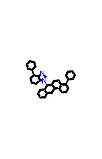 c1ccc(-c2cccc3c2ccc2c(-n4cnc5c(-c6ccccc6)cccc54)c4ccccc4cc23)cc1